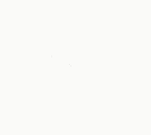 CCOC(=O)CNC(=O)C(F)F